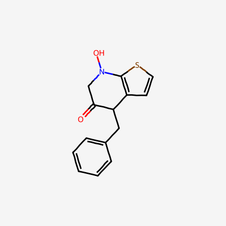 O=C1CN(O)c2sccc2C1Cc1ccccc1